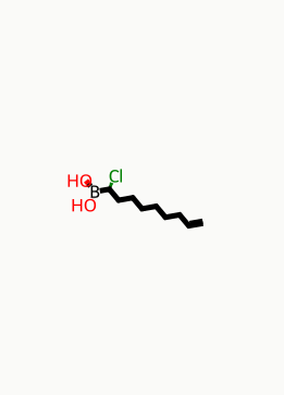 C=CCCCCCC[C@H](Cl)B(O)O